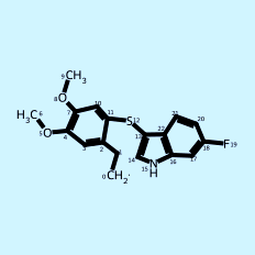 [CH2]Cc1cc(OC)c(OC)cc1Sc1c[nH]c2cc(F)ccc12